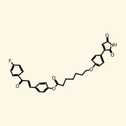 O=C1C=C(c2ccc(OCCCCCCC(=O)Oc3ccc(C=CC(=O)c4ccc(F)cc4)cc3)cc2)C(=O)N1